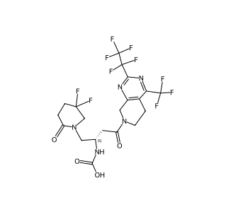 O=C(O)N[C@@H](CC(=O)N1CCc2c(nc(C(F)(F)C(F)(F)F)nc2C(F)(F)F)C1)CN1CC(F)(F)CCC1=O